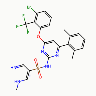 CN/C=C(\C=N)S(=O)(=O)Nc1nc(Oc2cccc(Br)c2C(F)(F)F)cc(-c2c(C)cccc2C)n1